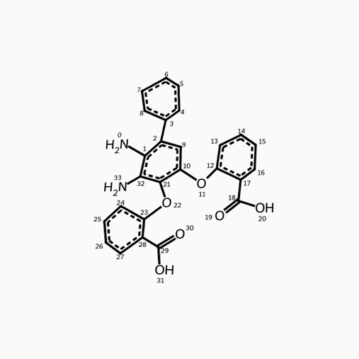 Nc1c(-c2ccccc2)cc(Oc2ccccc2C(=O)O)c(Oc2ccccc2C(=O)O)c1N